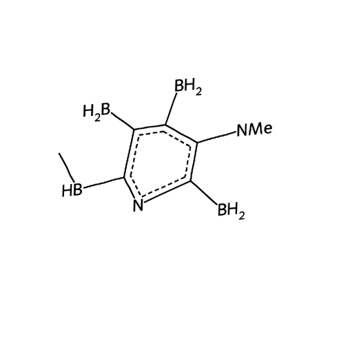 Bc1nc(BC)c(B)c(B)c1NC